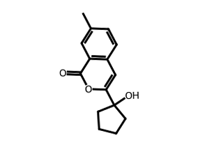 Cc1ccc2cc(C3(O)CCCC3)oc(=O)c2c1